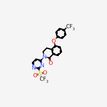 O=C1c2cccc(Oc3ccc(C(F)(F)F)cc3)c2CCN1c1ccnc(S(=O)(=O)C(F)(F)F)n1